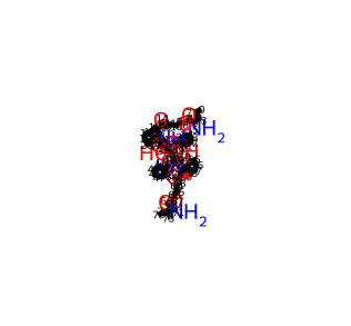 CC[C@H](C)[C@H](N)C(=O)OCCCCC(=O)[C@@H]1Cc2ccccc2[C@H]1NC(=O)[C@H](OCc1ccccc1)[C@H](O)[C@@H](O)[C@@H](OCc1ccccc1)C(=O)N[C@@H]1c2ccccc2C[C@H]1C(=O)CCCCOC(=O)[C@@H](N)[C@@H](C)CC